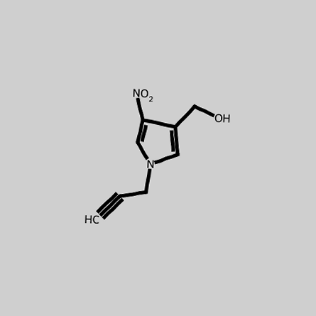 C#CCn1cc(CO)c([N+](=O)[O-])c1